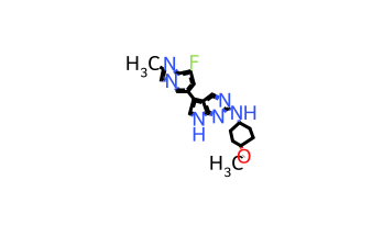 COC1CCC(Nc2ncc3c(-c4cc(F)c5nc(C)cn5c4)c[nH]c3n2)CC1